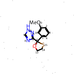 COc1cccc(C2(c3nc[nH]n3)OCCS2)c1